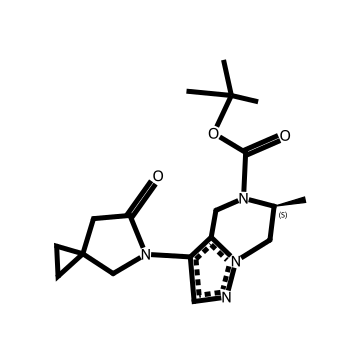 C[C@H]1Cn2ncc(N3CC4(CC4)CC3=O)c2CN1C(=O)OC(C)(C)C